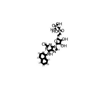 O=P(O)(O)CP(=O)(O)CC[C@H]1O[C@@H](n2cnc3c(Nc4cccc5ccccc45)nc(Cl)nc32)C(O)C1O